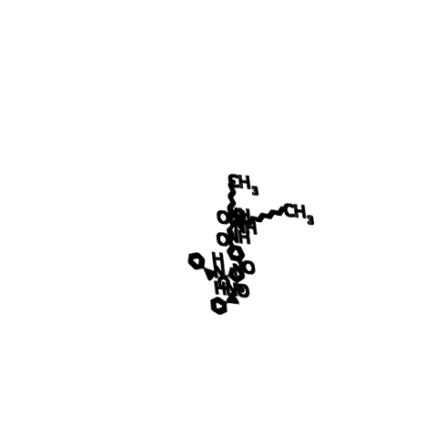 CCCCCCCCCC(=O)N[C@@H](CNC(=O)c1ccc(C(=O)N2C[C@@H](C(=O)N[C@H]3C[C@@H]3c3ccccc3)[C@H](C(=O)N[C@H]3C[C@@H]3c3ccccc3)C2)cc1)C(=O)NCCCCCC